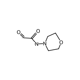 O=[C]C(=O)[N]N1CCOCC1